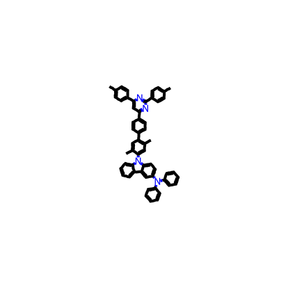 Cc1ccc(-c2cc(-c3ccc(-c4cc(C)c(-n5c6ccccc6c6cc(N(c7ccccc7)c7ccccc7)ccc65)cc4C)cc3)nc(-c3ccc(C)cc3)n2)cc1